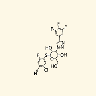 N#Cc1cc(F)c(SC2OC(CO)C(O)C(n3cc(-c4cc(F)c(F)c(F)c4)nn3)C2O)cc1Cl